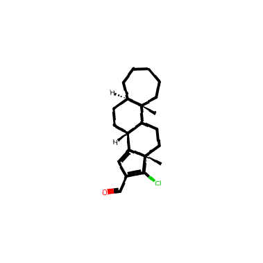 C[C@]12CCC3[C@@H](CC[C@H]4CCCCC[C@]34C)C1=CC(C=O)=C2Cl